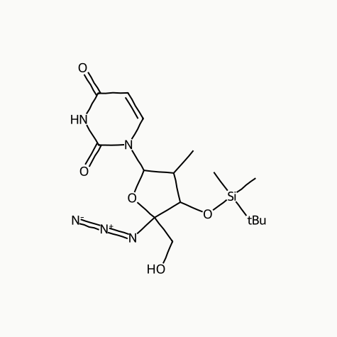 CC1C(n2ccc(=O)[nH]c2=O)OC(CO)(N=[N+]=[N-])C1O[Si](C)(C)C(C)(C)C